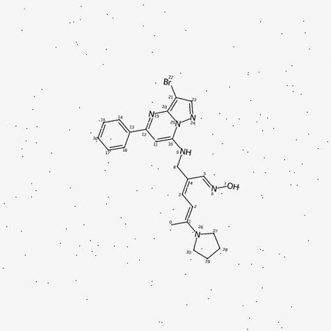 C\C(=C/C=C(\C=N\O)CNc1cc(-c2ccccc2)nc2c(Br)cnn12)N1CCCC1